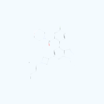 CC(C)[C@@H](CCC=O)N1CC(c2cc(-c3ccc(F)cc3C(=O)N3CCOC[C@H]3C)c3cnn(C)c3c2)C1